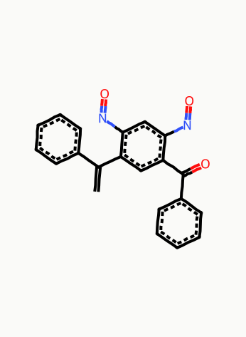 C=C(c1ccccc1)c1cc(C(=O)c2ccccc2)c(N=O)cc1N=O